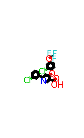 O=C(O)c1cnc(-c2cccc(Cl)c2)cc1Oc1ccc(OC(F)(F)F)cc1Cl